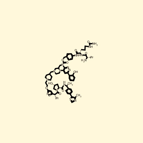 Cc1ncsc1-c1ccc([C@H](C)NC(=O)[C@@H]2C[C@@H](O)CN2C(=O)[C@@H](c2cc(OCCN3CCC(CN4CCN5c6cc(-c7ccccc7O)nnc6N(C(=O)OCc6ccc(NC(=O)[C@H](CCCNC(N)=O)NC(=O)[C@@H](N)C(C)C)cc6)CC5C4)CC3)no2)C(C)C)cc1